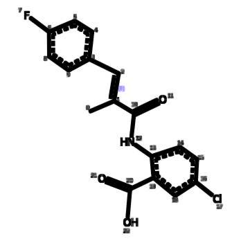 C/C(=C\c1ccc(F)cc1)C(=O)Nc1ccc(Cl)cc1C(=O)O